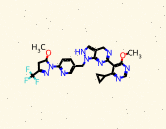 COc1ncnc(C2CC2)c1C1=NCC2=CNN(Cc3ccc(N4N=C(C(F)(F)F)CC4OC)nc3)C2=N1